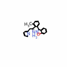 Cc1cccc(-c2noc3ccccc23)c1[C@@H](N)Cc1ccccn1